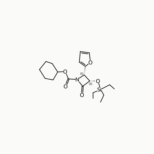 CC[Si](CC)(CC)O[C@@H]1C(=O)N(C(=O)OC2CCCCC2)[C@@H]1c1ccco1